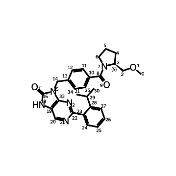 COC[C@@H]1CCCN1C(=O)c1ccc(Cn2c(=O)[nH]c3cnc(-c4ccccc4C(C)C)nc32)cc1